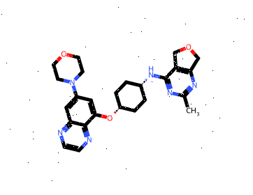 Cc1nc2c(c(N[C@H]3CC[C@@H](Oc4cc(N5CCOCC5)cc5nccnc45)CC3)n1)COC2